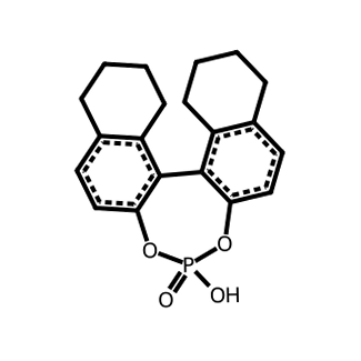 O=P1(O)Oc2ccc3c(c2-c2c(ccc4c2CCCC4)O1)CCCC3